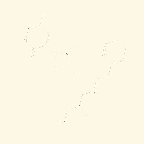 C=C1C(COP(NCC(=O)OC(C)C)Oc2ccccc2)CC1n1cc(C)c(=O)[nH]c1=O